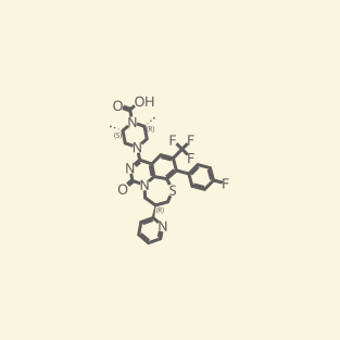 C[C@@H]1CN(c2nc(=O)n3c4c(c(-c5ccc(F)cc5)c(C(F)(F)F)cc24)SC[C@@H](c2ccccn2)C3)C[C@H](C)N1C(=O)O